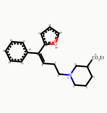 CCOC(=O)C1CCCN(CCC=C(c2ccccc2)c2ccco2)C1